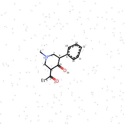 CCC(=O)C1CN(C)CC(c2ccccc2)C1=O